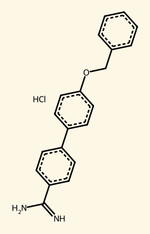 Cl.N=C(N)c1ccc(-c2ccc(OCc3ccccc3)cc2)cc1